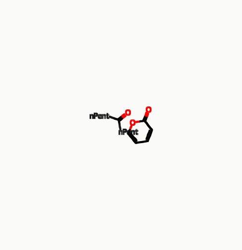 CCCCCC(=O)CCCCC.O=c1cccco1